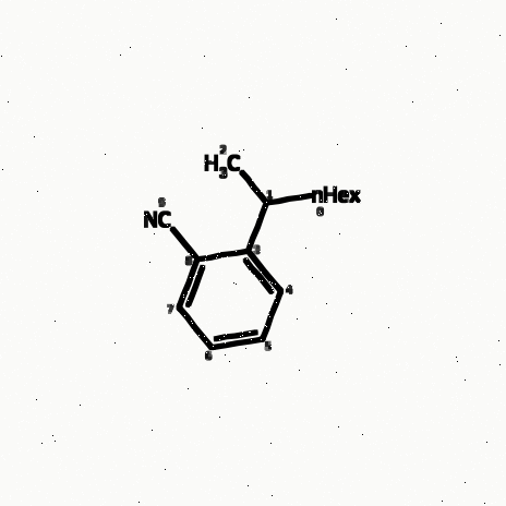 CCCCCCC(C)c1ccccc1C#N